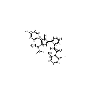 CC(C)C(N)c1nc(-c2n[nH]cc2NC(=O)c2c(F)cccc2F)[nH]c1-c1ccc(F)cc1